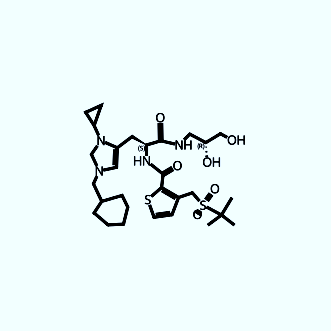 CC(C)(C)S(=O)(=O)Cc1ccsc1C(=O)N[C@@H](CC1=CN(CC2CCCCC2)CN1C1CC1)C(=O)NC[C@@H](O)CO